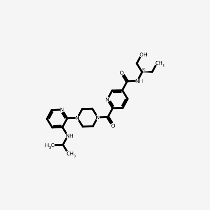 CC[C@H](CO)NC(=O)c1ccc(C(=O)N2CCN(c3ncccc3NC(C)C)CC2)nc1